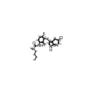 CCCCN(C)C(=O)Nc1ccc(F)c(Cc2c[nH]c3ncc(Cl)cc23)c1F